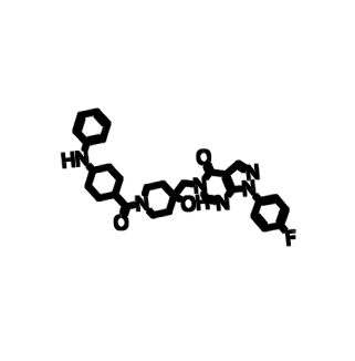 O=C(C1CCC(Nc2ccccc2)CC1)N1CCC(O)(Cn2cnc3c(cnn3-c3ccc(F)cc3)c2=O)CC1